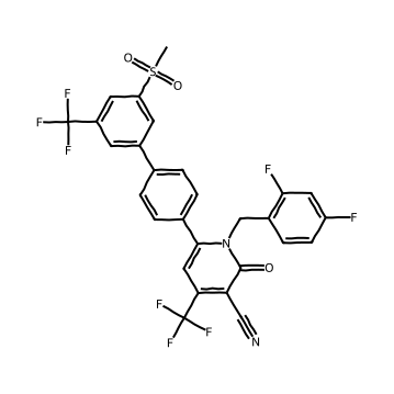 CS(=O)(=O)c1cc(-c2ccc(-c3cc(C(F)(F)F)c(C#N)c(=O)n3Cc3ccc(F)cc3F)cc2)cc(C(F)(F)F)c1